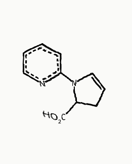 O=C(O)C1CC=CN1c1ccccn1